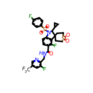 O=C(NCc1ncc(C(F)(F)F)cc1F)c1ccc2c(c1F)C1(CCS(=O)(=O)CC1)C(C1CC1)N2S(=O)(=O)c1ccc(F)cc1